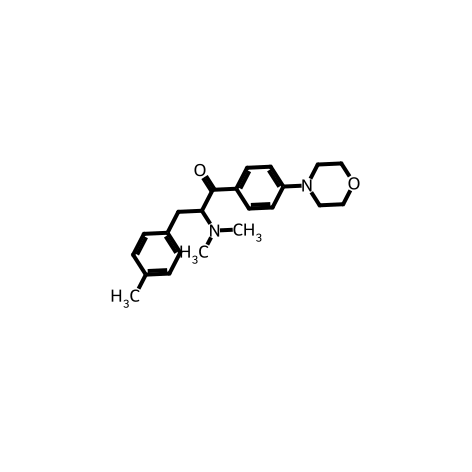 Cc1ccc(CC(C(=O)c2ccc(N3CCOCC3)cc2)N(C)C)cc1